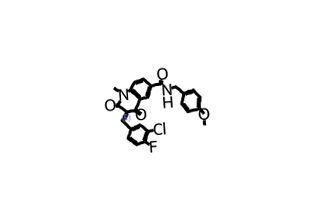 COc1ccc(CNC(=O)c2ccc3c(c2)C(=O)/C(=C\c2ccc(F)c(Cl)c2)C(=O)N3C)cc1